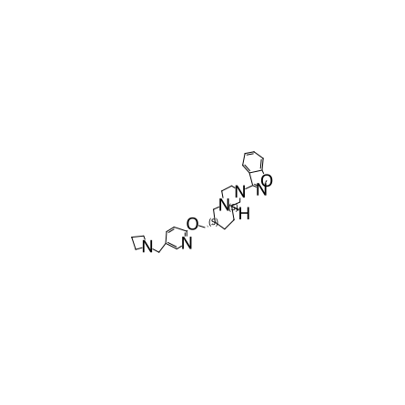 c1ccc2c(N3CCN4C[C@@H](COc5ccc(CN6CCC6)cn5)CC[C@H]4C3)noc2c1